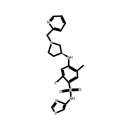 Cc1cc(S(=O)(=O)Nc2cscn2)c(F)cc1N[C@H]1CCN(Cc2ccccn2)C1